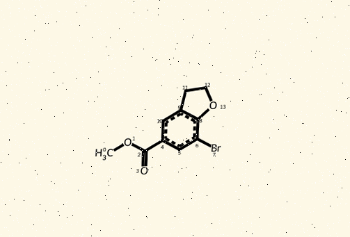 COC(=O)c1cc(Br)c2c(c1)CCO2